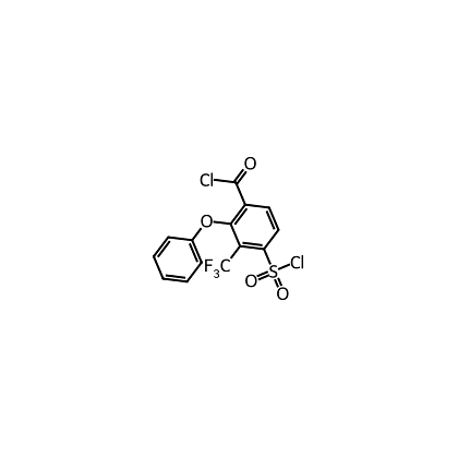 O=C(Cl)c1ccc(S(=O)(=O)Cl)c(C(F)(F)F)c1Oc1ccccc1